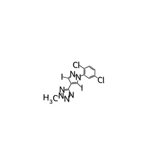 Cn1nnc(-c2c(I)nn(-c3cc(Cl)ccc3Cl)c2I)n1